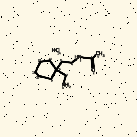 CC(=O)NCCC1(CN)CCCCC1.Cl